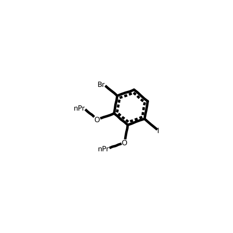 CCCOc1c(Br)ccc(I)c1OCCC